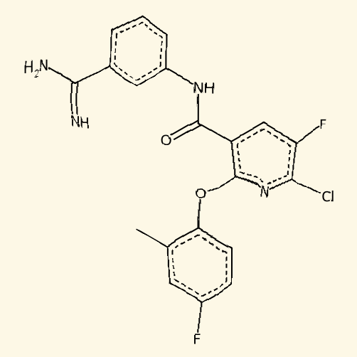 Cc1cc(F)ccc1Oc1nc(Cl)c(F)cc1C(=O)Nc1cccc(C(=N)N)c1